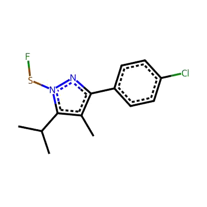 Cc1c(-c2ccc(Cl)cc2)nn(SF)c1C(C)C